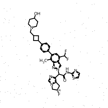 Cc1c(-c2ccc(C3CC(CN4CCC(O)CC4)C3)cc2)cc(C(F)F)c2cn(C(C(=O)Nc3nccs3)c3ncn4c3C[C@@H](F)C4)nc12